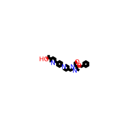 Cc1nc(CC2CCN(c3ccc(-c4ccc(C(C)O)cn4)cc3)CC2)nc(C=O)c1OCc1ccccc1